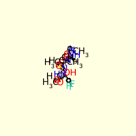 CCN1CCCC[C@@H]1C(=O)N[C@H](C(=O)N(C)[C@H](C[C@@H](OC(C)=O)c1nc(C(O)N[C@@H](Cc2ccc(C(F)(F)F)cc2)C[C@H](C)C(=O)OC)cs1)C(C)C)C1CC1